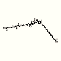 O=C(O)CCCCCCCCCCCCCCCOc1ccc(S(=O)(=O)Nc2ncc(C(=O)NCCOCCOCC(=O)NCCOCCOCC(=O)O)cn2)cc1F